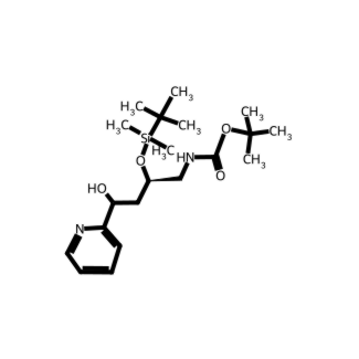 CC(C)(C)OC(=O)NC[C@@H](CC(O)c1ccccn1)O[Si](C)(C)C(C)(C)C